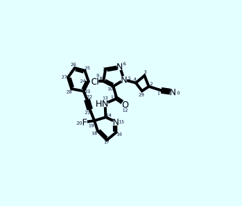 N#CC1CC(n2ncc(Cl)c2C(=O)NC2N=CC=CC2(F)C#Cc2ccccc2)C1